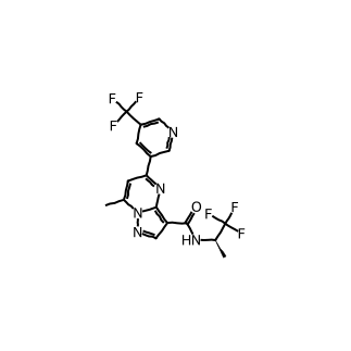 Cc1cc(-c2cncc(C(F)(F)F)c2)nc2c(C(=O)N[C@H](C)C(F)(F)F)cnn12